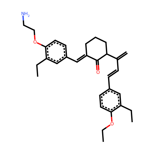 C=C(/C=C/c1ccc(OCC)c(CC)c1)C1CCC/C(=C\c2ccc(OCCN)c(CC)c2)C1=O